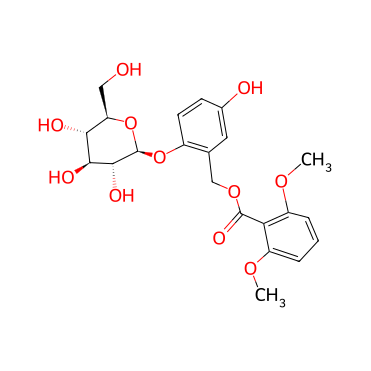 COc1cccc(OC)c1C(=O)OCc1cc(O)ccc1O[C@@H]1O[C@H](CO)[C@@H](O)[C@H](O)[C@H]1O